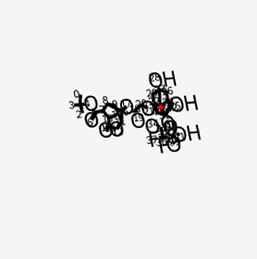 CC(C)(C)OC(=O)C1C2CC3C(OC(=O)C31)C2OC(=O)COC12CC3(O)CC(O)(C1)CC(OC(=O)C(F)(F)S(=O)(=O)O)(C3)C2